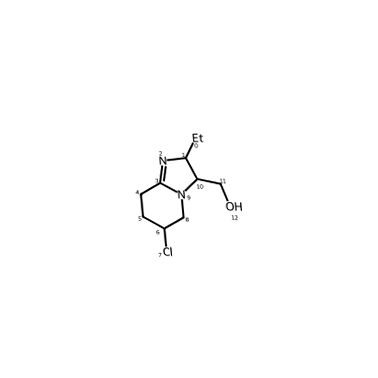 CCC1N=C2CCC(Cl)CN2C1CO